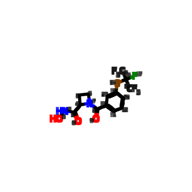 O=C(NO)C1CCN1C(=O)c1cccc(SC(F)(C(F)(F)F)C(F)(F)F)c1